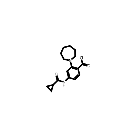 O=C(Cl)c1ccc(NC(=O)C2CC2)cc1N1CCCCCC1